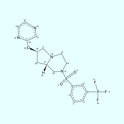 O=S(=O)(c1cccc(C(F)(F)F)c1)N1CCN2C[C@H](Oc3cnccn3)C[C@H]2C1